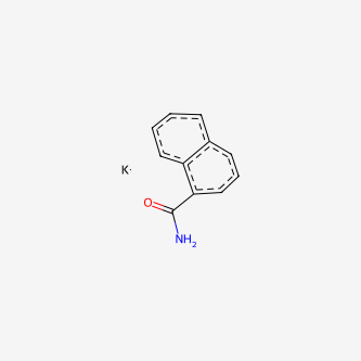 NC(=O)c1cccc2ccccc12.[K]